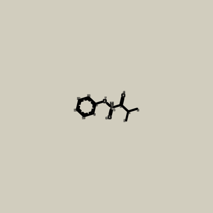 CC(C)C(=O)[PH](=O)Oc1ccccc1